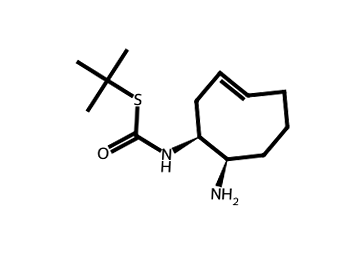 CC(C)(C)SC(=O)N[C@H]1C/C=C/CCC[C@H]1N